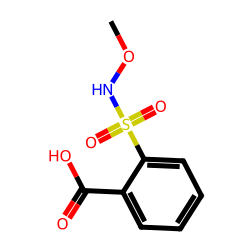 CONS(=O)(=O)c1ccccc1C(=O)O